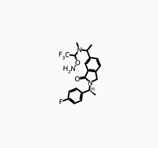 CC(c1ccc2c(c1)C(=O)N([C@@H](C)c1ccc(F)cc1)C2)N(C)C(ON)C(F)(F)F